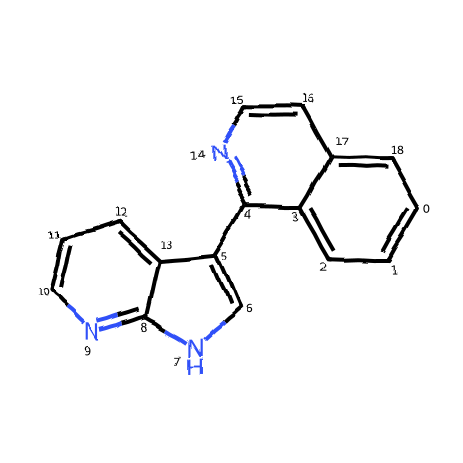 c1ccc2c(-c3c[nH]c4ncccc34)nccc2c1